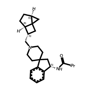 CC(C)C(=O)N[C@H]1CC2(CCN(C[C@H]3CC45C[C@@H]4CC[C@H]35)CC2)c2ccccc21